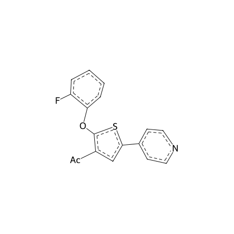 CC(=O)c1cc(-c2ccncc2)sc1Oc1ccccc1F